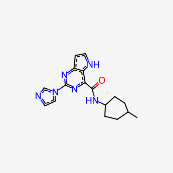 CC1CCC(NC(=O)c2nc(-n3ccnc3)nc3cc[nH]c23)CC1